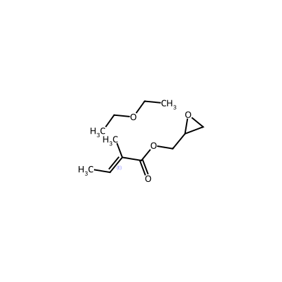 C/C=C(\C)C(=O)OCC1CO1.CCOCC